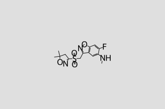 CNc1cc2c(CS(=O)(=O)C3=NOC(C)(C)C3)noc2cc1F